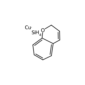 C1=Cc2ccccc2OC1.[Cu].[SiH4]